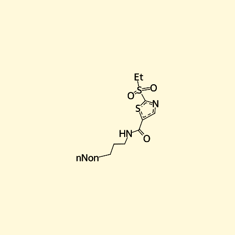 CCCCCCCCCCCCNC(=O)c1cnc(S(=O)(=O)CC)s1